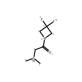 C[SH](C)CC(=O)N1CC(F)(F)C1